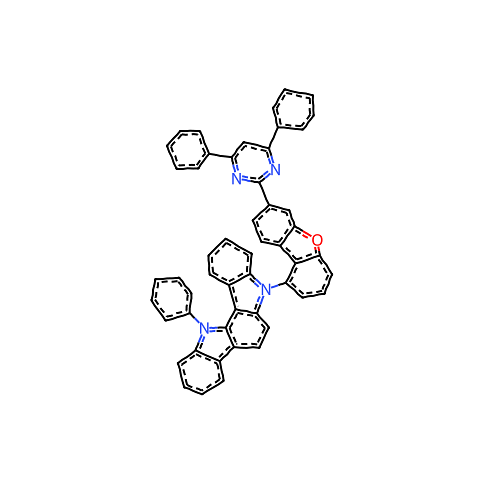 c1ccc(-c2cc(-c3ccccc3)nc(-c3ccc4c(c3)oc3cccc(-n5c6ccccc6c6c5ccc5c7ccccc7n(-c7ccccc7)c56)c34)n2)cc1